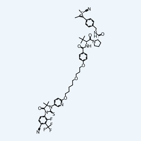 CC1=C(c2ccc(CNC(=O)[C@@H]3CCCN3C(=O)[C@@H](NC(=O)c3ccc(OCCCOCCCCCOc4ccc(N5C(=S)N(c6ccc(C#N)c(C(F)(F)F)c6F)C(=O)C5(C)C)cn4)cc3)C(C)(C)C)cc2)S1(C)C#N